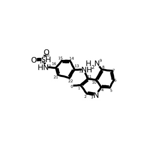 Cc1cnc2cccc(N)c2c1Nc1ccc(N[SH](=O)=O)cc1